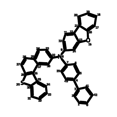 c1ccc(-c2ccc(N(c3ccc4c(c3)oc3ccccc34)c3ccc4ccc5sc6ccccc6c5c4c3)cc2)cc1